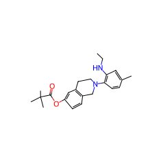 CCNc1cc(C)ccc1N1CCc2cc(OC(=O)C(C)(C)C)ccc2C1